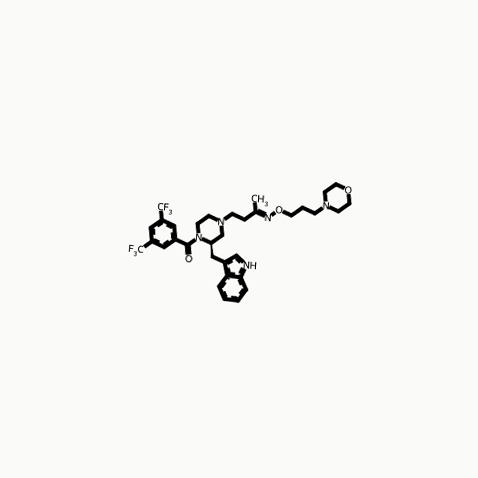 C/C(CCN1CCN(C(=O)c2cc(C(F)(F)F)cc(C(F)(F)F)c2)[C@H](Cc2c[nH]c3ccccc23)C1)=N\OCCCN1CCOCC1